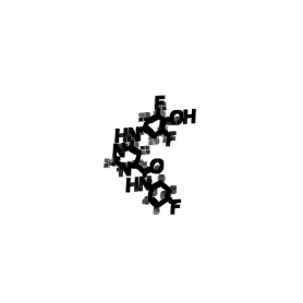 O=C(Nc1ccc(F)cc1)c1cc(Nc2cc(F)c(O)c(F)c2)ncn1